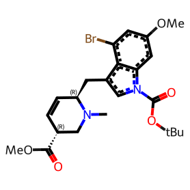 COC(=O)[C@@H]1C=C[C@@H](Cc2cn(C(=O)OC(C)(C)C)c3cc(OC)cc(Br)c23)N(C)C1